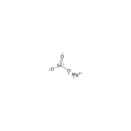 [Mg+2].[O]=[Sn]([O-])[O-]